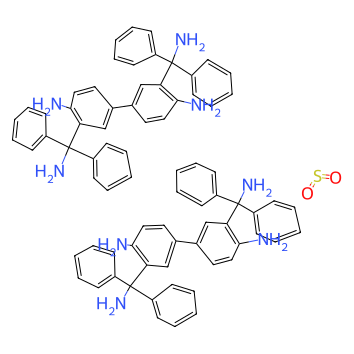 Nc1ccc(-c2ccc(N)c(C(N)(c3ccccc3)c3ccccc3)c2)cc1C(N)(c1ccccc1)c1ccccc1.Nc1ccc(-c2ccc(N)c(C(N)(c3ccccc3)c3ccccc3)c2)cc1C(N)(c1ccccc1)c1ccccc1.O=S=O